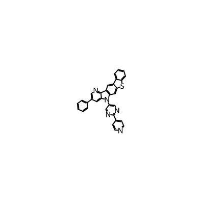 c1ccc(-c2cnc3c4cc5c(cc4n(-c4cnc(-c6ccncc6)nc4)c3c2)sc2ccccc25)cc1